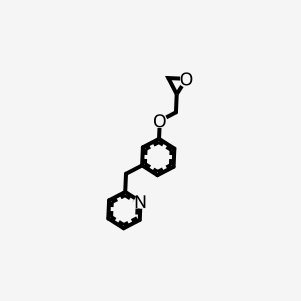 c1ccc(Cc2cccc(OCC3CO3)c2)nc1